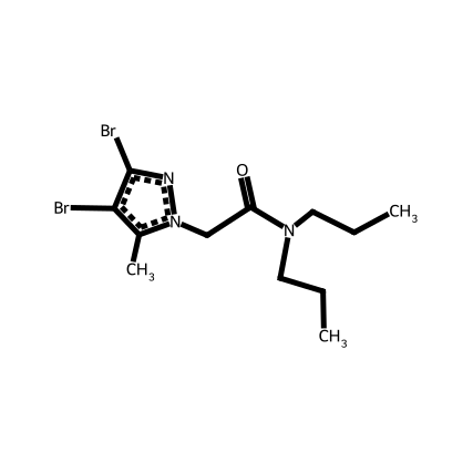 CCCN(CCC)C(=O)Cn1nc(Br)c(Br)c1C